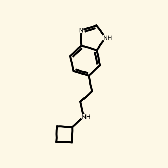 c1nc2ccc(CCNC3CCC3)cc2[nH]1